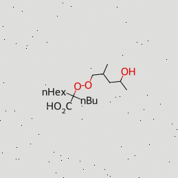 CCCCCCC(CCCC)(OOCC(C)CC(C)O)C(=O)O